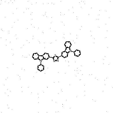 c1ccc(-n2c3ccccc3c3cc(-c4nnc(-c5ccc6c7ccccc7n(-c7ccccc7)c6c5)s4)ccc32)cc1